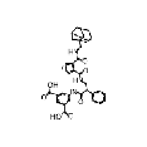 O=C(O)c1cc(NC(=O)C(CNC(=O)c2cocc2C(=O)NCC23CC4CC(CC(C4)C2)C3)c2ccccc2)cc(C(=O)O)c1